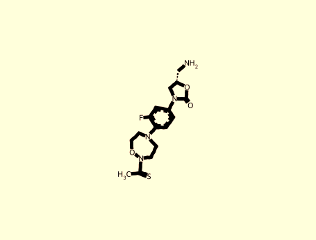 CC(=S)N1CCN(c2ccc(N3C[C@H](CN)OC3=O)cc2F)CCO1